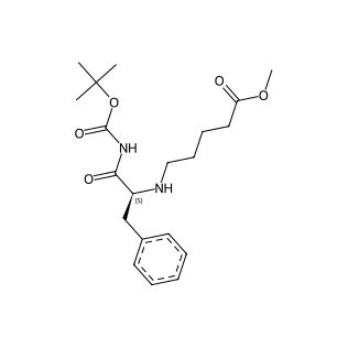 COC(=O)CCCCN[C@@H](Cc1ccccc1)C(=O)NC(=O)OC(C)(C)C